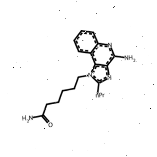 CCCc1nc2c(N)nc3ccccc3c2n1CCCCCC(N)=O